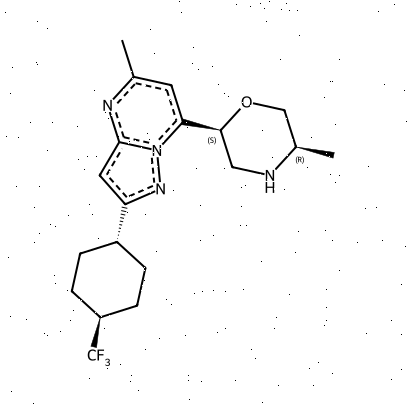 Cc1cc([C@@H]2CN[C@H](C)CO2)n2nc([C@H]3CC[C@H](C(F)(F)F)CC3)cc2n1